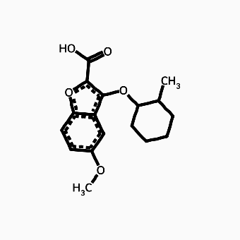 COc1ccc2oc(C(=O)O)c(OC3CCCCC3C)c2c1